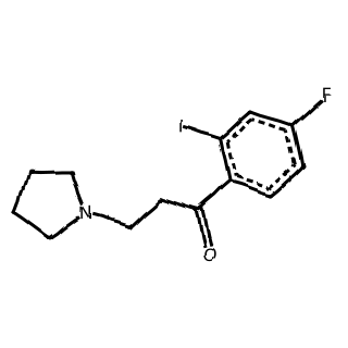 O=C(CCN1CCCC1)c1ccc(F)cc1I